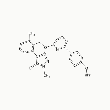 CCCOc1ccc(-c2cccc(OCc3c(C)cccc3-n3nnn(C)c3=O)n2)cc1